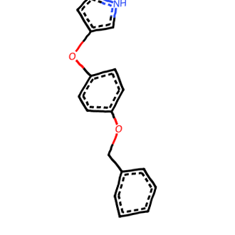 c1ccc(COc2ccc(Oc3cc[nH]c3)cc2)cc1